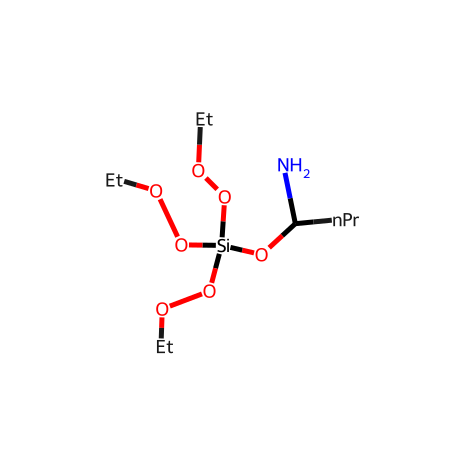 CCCC(N)O[Si](OOCC)(OOCC)OOCC